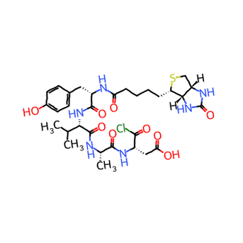 CC(C)[C@H](NC(=O)[C@H](Cc1ccc(O)cc1)NC(=O)CCCC[C@@H]1SC[C@@H]2NC(=O)N[C@@H]21)C(=O)N[C@@H](C)C(=O)N[C@@H](CC(=O)O)C(=O)Cl